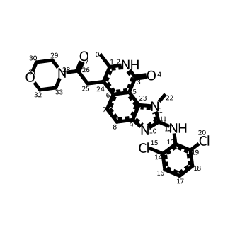 Cc1[nH]c(=O)c2c(ccc3nc(Nc4c(Cl)cccc4Cl)n(C)c32)c1CC(=O)N1CCOCC1